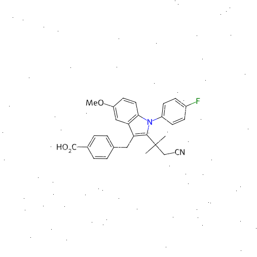 COc1ccc2c(c1)c(Cc1ccc(C(=O)O)cc1)c(C(C)(C)CC#N)n2-c1ccc(F)cc1